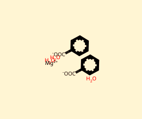 O.O.O.O=C([O-])c1ccccc1.O=C([O-])c1ccccc1.[Mg+2]